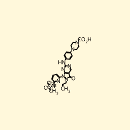 C=CCn1c(=O)c2cnc(Nc3ccc(N4CCN(C(=O)O)CC4)cc3)nc2n1-c1cccc(N=S(C)(C)=O)n1